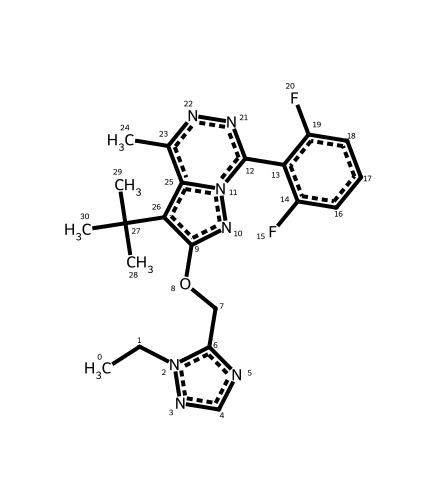 CCn1ncnc1COc1nn2c(-c3c(F)cccc3F)nnc(C)c2c1C(C)(C)C